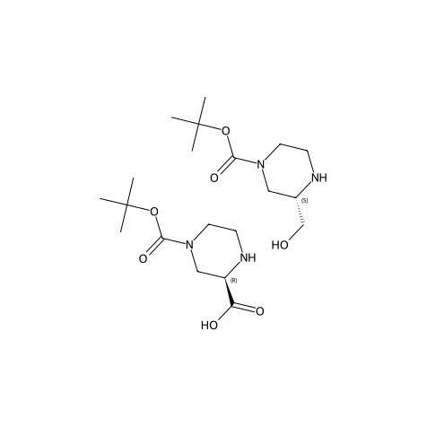 CC(C)(C)OC(=O)N1CCN[C@@H](C(=O)O)C1.CC(C)(C)OC(=O)N1CCN[C@H](CO)C1